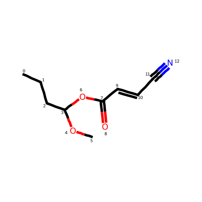 CCCC(OC)OC(=O)C=CC#N